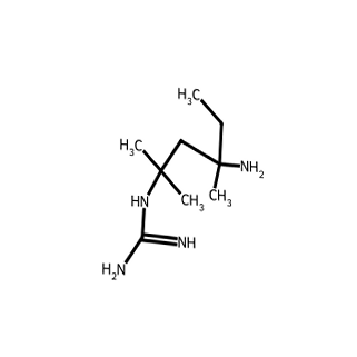 CCC(C)(N)CC(C)(C)NC(=N)N